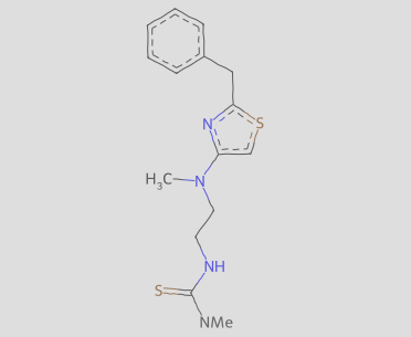 CNC(=S)NCCN(C)c1csc(Cc2ccccc2)n1